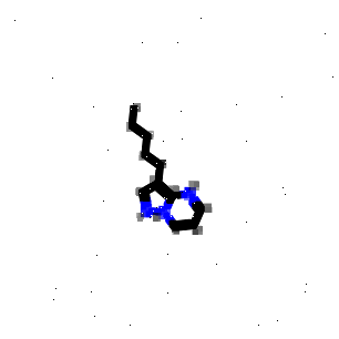 CCCCCc1cnn2cccnc12